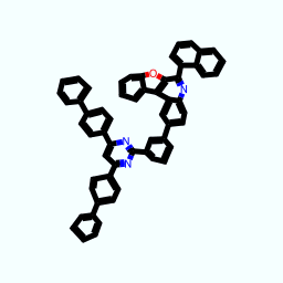 c1ccc(-c2ccc(-c3cc(-c4ccc(-c5ccccc5)cc4)nc(-c4cccc(-c5ccc6nc(-c7cccc8ccccc78)c7oc8ccccc8c7c6c5)c4)n3)cc2)cc1